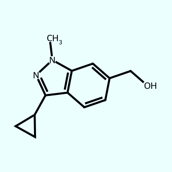 Cn1nc(C2CC2)c2ccc(CO)cc21